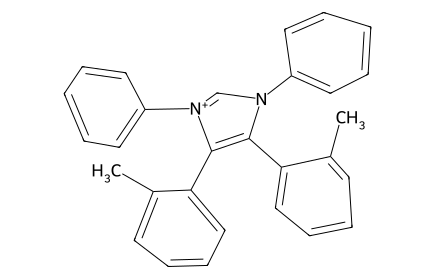 Cc1ccccc1-c1c(-c2ccccc2C)[n+](-c2ccccc2)cn1-c1ccccc1